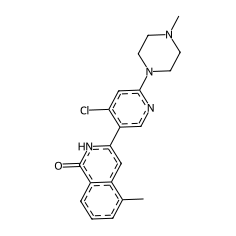 Cc1cccc2c(=O)[nH]c(-c3cnc(N4CCN(C)CC4)cc3Cl)cc12